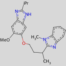 COc1cc2nc(C(C)C)[nH]c2cc1OCCC(C)c1nc2ccccc2n1C